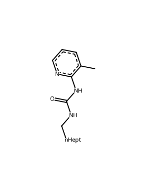 CCCCCCCCNC(=O)Nc1ncccc1C